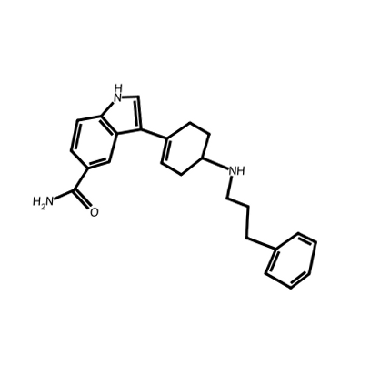 NC(=O)c1ccc2[nH]cc(C3=CCC(NCCCc4ccccc4)CC3)c2c1